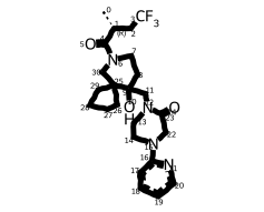 C[C@H](CC(F)(F)F)C(=O)N1CCC(O)(CN2CCN(c3ccccn3)CC2=O)C2(CCCC2)C1